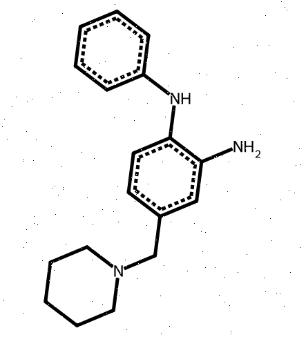 Nc1cc(CN2CCCCC2)ccc1Nc1ccccc1